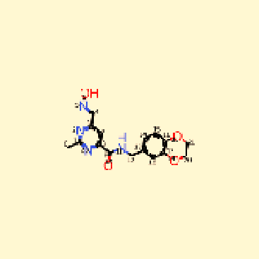 Cc1nc(/C=N/O)cc(C(=O)NCc2ccc3c(c2)OCCO3)n1